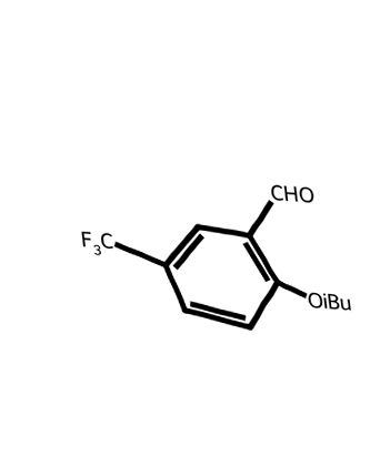 CC(C)COc1ccc(C(F)(F)F)cc1C=O